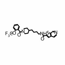 O=C(NCCCCC1CCN(C(=O)c2ccccc2OC(F)(F)F)CC1)c1cc2ccncc2s1